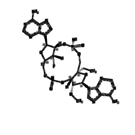 CC[C@@]12CO[P@@](=O)(S)O[C@@H]3[C@H](F)[C@@H](CO[PH](=O)O[C@H]1[C@@H](OC)[C@H](n1cnc4c(N)ncnc41)O2)O[C@H]3n1cnc2c(N)ncnc21